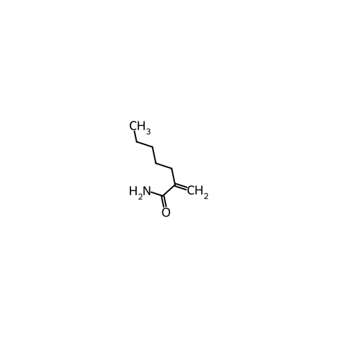 C=C(CCCCC)C(N)=O